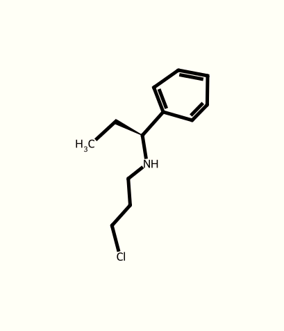 CC[C@H](NCCCCl)c1ccccc1